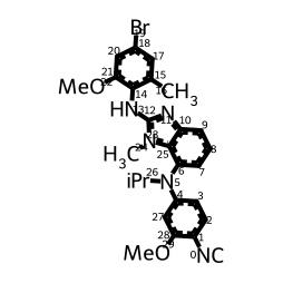 [C-]#[N+]c1ccc(N(c2cccc3nc(Nc4c(C)cc(Br)cc4OC)n(C)c23)C(C)C)cc1OC